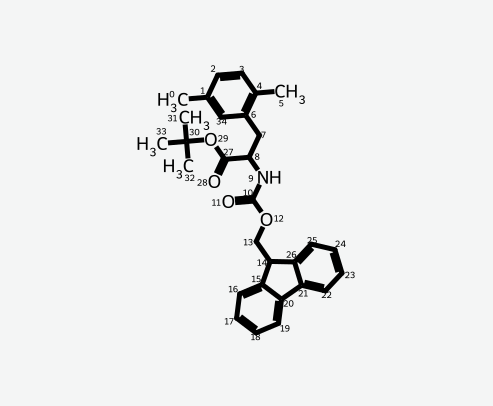 Cc1ccc(C)c(CC(NC(=O)OCC2c3ccccc3-c3ccccc32)C(=O)OC(C)(C)C)c1